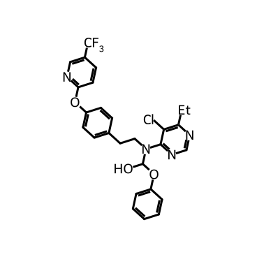 CCc1ncnc(N(CCc2ccc(Oc3ccc(C(F)(F)F)cn3)cc2)C(O)Oc2ccccc2)c1Cl